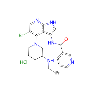 CC(C)CNC1CCCN(c2c(Br)cnc3[nH]cc(NC(=O)c4cccnc4)c23)C1.Cl